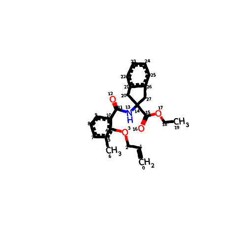 C=CCOc1c(C)cccc1C(=O)NC1(C(=O)OCC)Cc2ccccc2C1